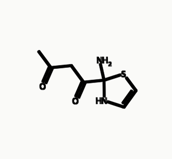 CC(=O)CC(=O)C1(N)NC=CS1